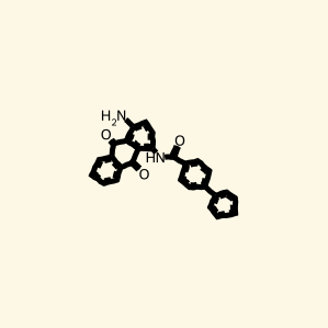 Nc1ccc(NC(=O)c2ccc(-c3ccccc3)cc2)c2c1C(=O)c1ccccc1C2=O